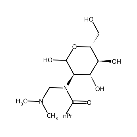 CCCC(=O)N(CN(C)C)[C@H]1C(O)O[C@H](CO)[C@@H](O)[C@@H]1O